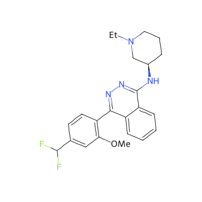 CCN1CCC[C@@H](Nc2nnc(-c3ccc(C(F)F)cc3OC)c3ccccc23)C1